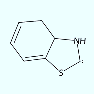 [C]1NC2CC=CC=C2S1